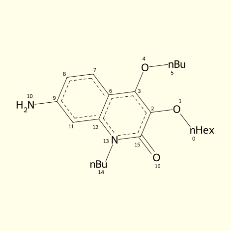 CCCCCCOc1c(OCCCC)c2ccc(N)cc2n(CCCC)c1=O